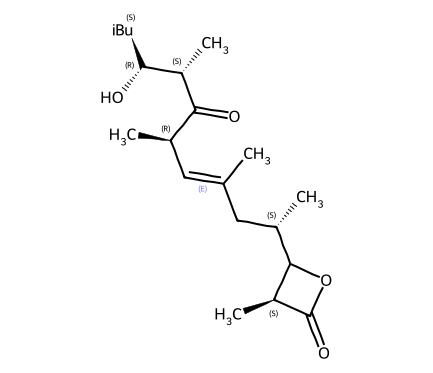 CC[C@H](C)[C@@H](O)[C@H](C)C(=O)[C@H](C)/C=C(\C)C[C@H](C)C1OC(=O)[C@H]1C